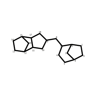 C1CC2CC1CCC2CC1CC2C3CCC(C3)C2C1